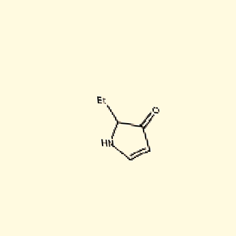 CCC1NC=CC1=O